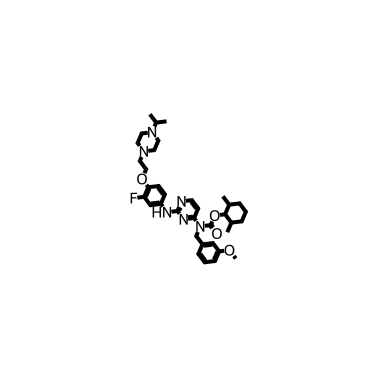 COc1cccc(CN(C(=O)OC2C(C)CCCC2C)c2ccnc(Nc3ccc(OCCN4CCN(C(C)C)CC4)c(F)c3)n2)c1